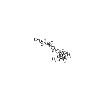 CC(C)(C)OC(=O)N1CCN(c2ccc(N3C[C@H](CNC(=O)COCc4ccccc4)OC3=O)cc2F)CCN1C(=O)OC(C)(C)C